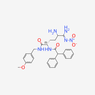 COc1ccc(CNC(=O)[C@H](CCC(N)C(N)=N[N+](=O)[O-])NC(=O)C(c2ccccc2)c2ccccc2)cc1